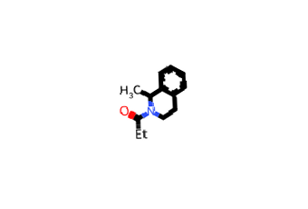 CCC(=O)N1CCc2ccccc2C1C